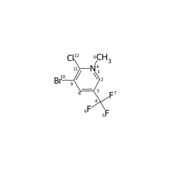 C[n+]1cc(C(F)(F)F)cc(Br)c1Cl